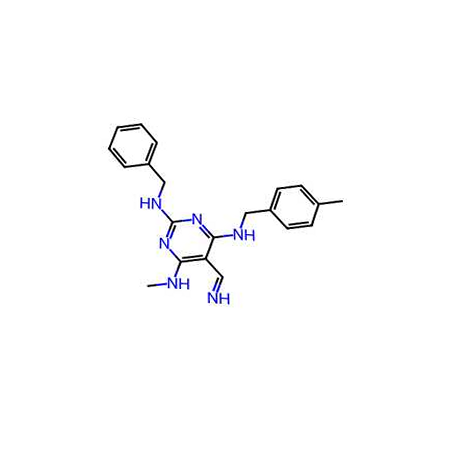 CNc1nc(NCc2ccccc2)nc(NCc2ccc(C)cc2)c1C=N